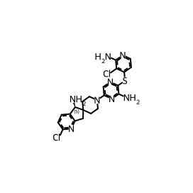 Nc1nc(N2CCC3(CC2)Cc2nc(Cl)ccc2[C@H]3N)cnc1Sc1ccnc(N)c1Cl